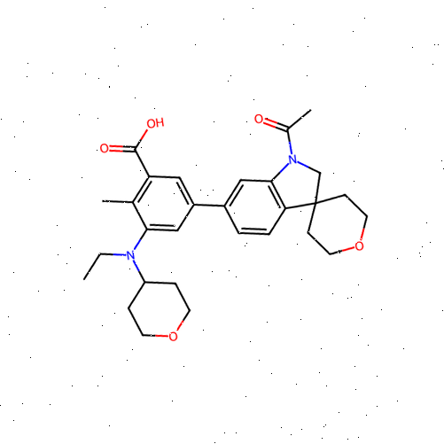 CCN(c1cc(-c2ccc3c(c2)N(C(C)=O)CC32CCOCC2)cc(C(=O)O)c1C)C1CCOCC1